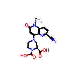 Cn1c(=O)cc(N2CCN(C(=O)O)[C@H](C(=O)O)C2)c2nc(C#N)ccc21